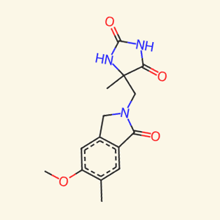 COc1cc2c(cc1C)C(=O)N(CC1(C)NC(=O)NC1=O)C2